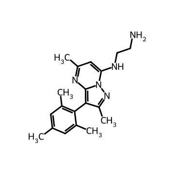 Cc1cc(C)c(-c2c(C)nn3c(NCCN)cc(C)nc23)c(C)c1